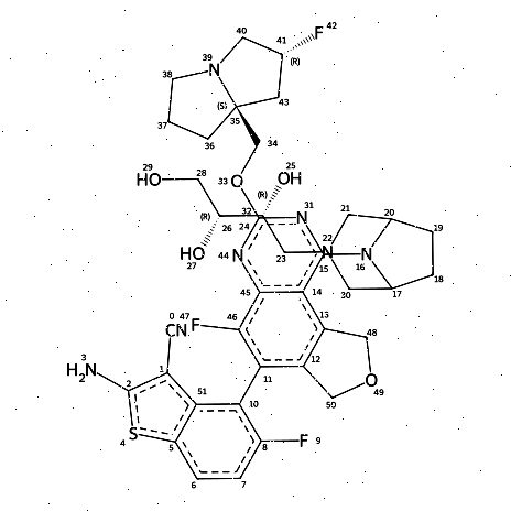 N#Cc1c(N)sc2ccc(F)c(-c3c4c(c5c(N6C7CCC6CN(C[C@@H](O)[C@H](O)CO)C7)nc(OC[C@@]67CCCN6C[C@H](F)C7)nc5c3F)COC4)c12